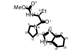 CC[C@H](NC(=O)OC)C(=O)N1CCC[C@H]1c1nc2c([nH]1)=CCCC=2